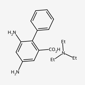 CCN(CC)CC.Nc1cc(N)c(-c2ccccc2)c(C(=O)O)c1